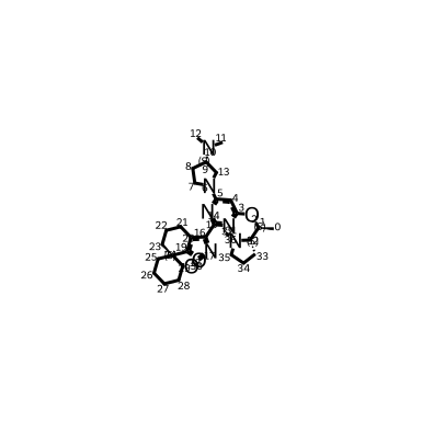 C[C@H](Oc1cc(N2CC[C@H](N(C)C)C2)nc(-c2noc3c2CCC[C@@]32CCCCC2=O)n1)[C@@H]1CCCN1C